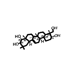 CC1(C)C[C@@H]2C3=CC[C@@H]4[C@@]5(C)CC[C@H](O)[C@@](C)(CO)C5CC[C@@]4(C)[C@]3(C)CC[C@@]2(C)[C@@H](O)[C@@H]1O